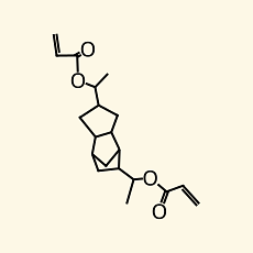 C=CC(=O)OC(C)C1CC2C3CC(C(C)OC(=O)C=C)C(C3)C2C1